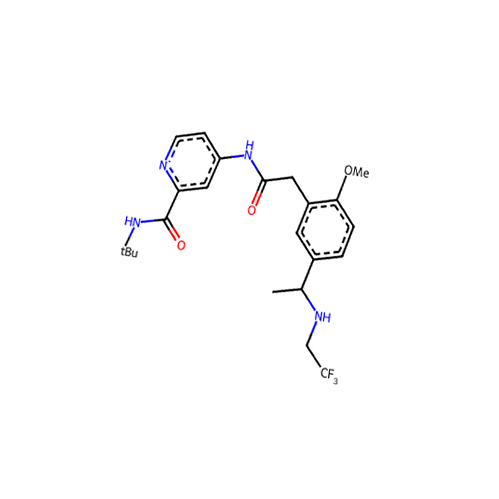 COc1ccc(C(C)NCC(F)(F)F)cc1CC(=O)Nc1ccnc(C(=O)NC(C)(C)C)c1